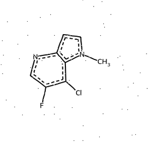 Cn1ccc2ncc(F)c(Cl)c21